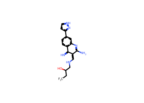 N=C1/C(=C\NCC(O)CC(F)(F)F)C(N)=Nc2cc(-c3cc[nH]n3)ccc21